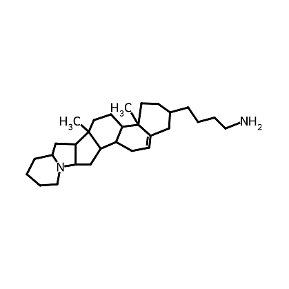 CC12CCC(CCCCN)CC1=CCC1C2CCC2(C)C1CC1C2CC2CCCCN21